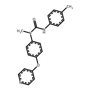 Cc1ccc(NC(=O)N(C)c2ccc(Oc3ccncc3)cc2)cc1